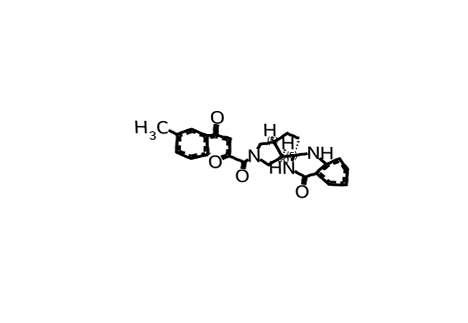 Cc1ccc2oc(C(=O)N3C[C@H]4CC[C@]5(NC(=O)c6ccccc6N5)[C@H]4C3)cc(=O)c2c1